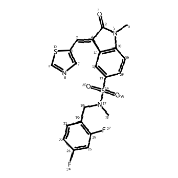 CN1C(=O)/C(=C/c2cncs2)c2cc(S(=O)(=O)N(C)Cc3ccc(F)cc3F)ccc21